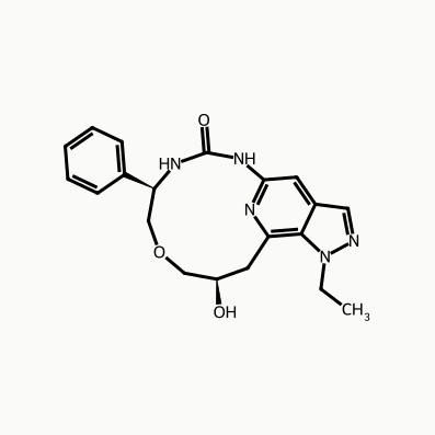 CCn1ncc2cc3nc(c21)C[C@@H](O)COC[C@@H](c1ccccc1)NC(=O)N3